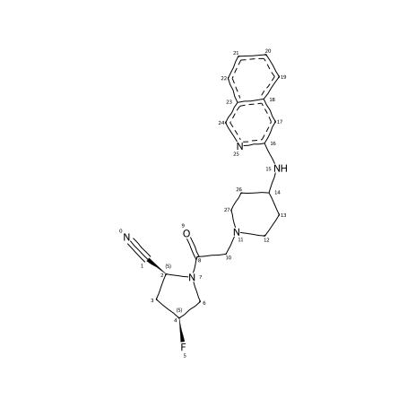 N#C[C@@H]1C[C@H](F)CN1C(=O)CN1CCC(Nc2cc3ccccc3cn2)CC1